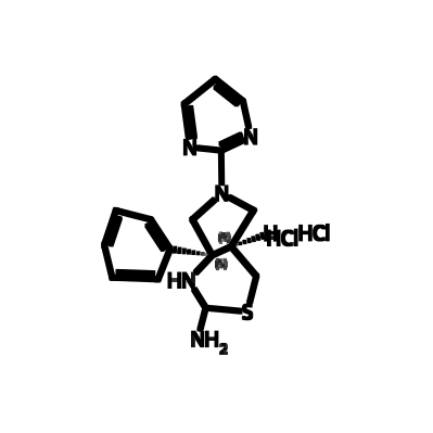 Cl.Cl.NC1N[C@@]2(c3ccccc3)CN(c3ncccn3)C[C@H]2CS1